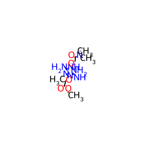 CCOC(=O)C(C)ON(N=C(N)NOCC(=O)N(C)C)C(=N)N